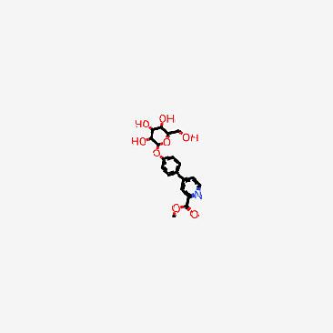 COC(=O)c1cc(-c2ccc(OC3OC(CO)C(O)C(O)C3O)cc2)ccn1